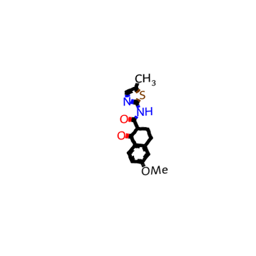 COc1ccc2c(c1)CCC(C(=O)Nc1ncc(C)s1)C2=O